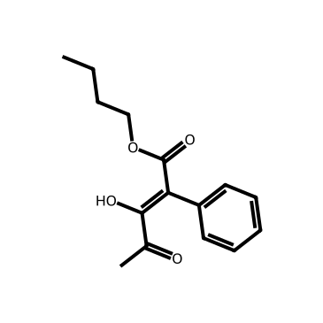 CCCCOC(=O)/C(=C(\O)C(C)=O)c1ccccc1